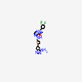 CN(Cc1ccc(F)c(F)c1)C(=O)c1nccnc1NCc1ccc(-c2ccc3ncnc(N)c3c2)s1